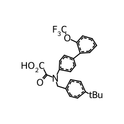 CC(C)(C)c1ccc(CN(C(=O)C(=O)O)c2ccc(-c3ccccc3OC(F)(F)F)cc2)cc1